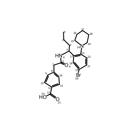 CCCC(NC(=O)Cc1ccc(C(=O)O)cc1)c1cc(Br)ccc1N1CCCCC1